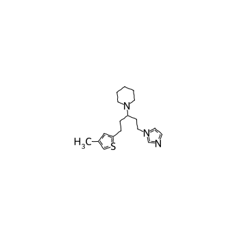 Cc1csc(CCC(CCn2ccnc2)N2CCCCC2)c1